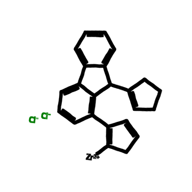 [Cl-].[Cl-].[Zr+2][C]1=C(c2cccc3c2C(C2=CCCC2)c2ccccc2-3)C=CC1